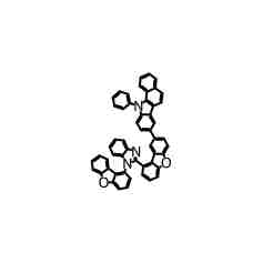 c1ccc(-n2c3ccc(-c4ccc5oc6cccc(-c7nc8ccccc8n7-c7cccc8oc9ccccc9c78)c6c5c4)cc3c3ccc4ccccc4c32)cc1